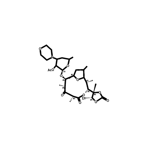 CC[C@H]1OC(=O)O[C@@]1(C)[C@@H]1OC(=O)[C@H](C)C(=O)[C@H](C)[C@@H](O[C@@H]2OC(C)CC(N3CCOCC3)C2OC(C)=O)[C@@]2(C)CC(C)C(O2)[C@@H]1C